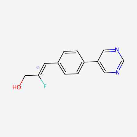 OC/C(F)=C/c1ccc(-c2cncnc2)cc1